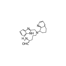 N[C@H](C=O)CCCN(Cc1nc2ccccc2[nH]1)C1CCCc2cccnc21